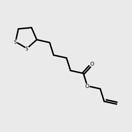 C=CCOC(=O)CCCCC1CCSS1